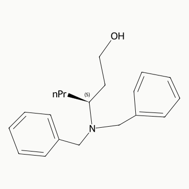 CCC[C@@H](CCO)N(Cc1ccccc1)Cc1ccccc1